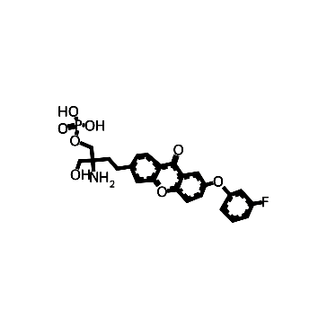 NC(CO)(CCc1ccc2c(=O)c3cc(Oc4cccc(F)c4)ccc3oc2c1)COP(=O)(O)O